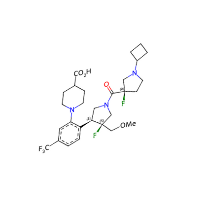 COC[C@@]1(F)CN(C(=O)[C@@]2(F)CCN(C3CCC3)C2)C[C@@H]1c1ccc(C(F)(F)F)cc1N1CCC(C(=O)O)CC1